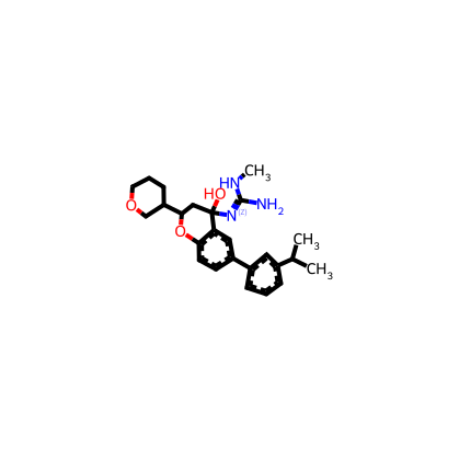 CN/C(N)=N\C1(O)CC(C2CCCOC2)Oc2ccc(-c3cccc(C(C)C)c3)cc21